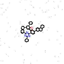 c1ccc(-c2cc(-c3ccccc3)c3oc4c(-c5ccc6c(ccc7ccccc76)c5)ccc(-c5nc(-c6ccccc6)nc(-c6ccccc6)n5)c4c3c2)cc1